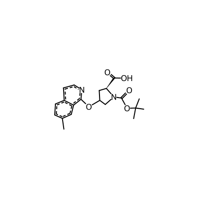 Cc1ccc2ccnc(OC3C[C@@H](C(=O)O)N(C(=O)OC(C)(C)C)C3)c2c1